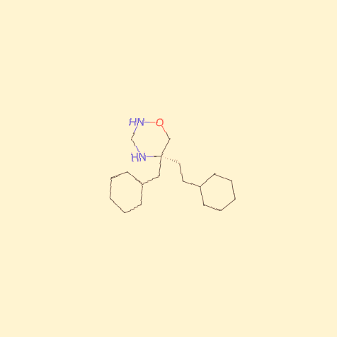 C1CCC(CC[C@@]2(CC3CCCCC3)CONCN2)CC1